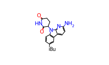 CCC(C)c1ccc2c(c1)c1ccc(N)nc1n2C1CCC(=O)NC1=O